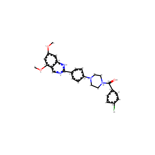 COc1cc(OC)c2cnc(-c3ccc(N4CCN(C(=O)c5ccc(F)cc5)CC4)cc3)nc2c1